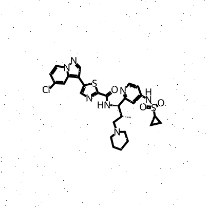 C[C@H](CN1CCCCC1)[C@@H](NC(=O)c1ncc(-c2cnn3ccc(Cl)cc23)s1)c1cc(NS(=O)(=O)C2CC2)ccn1